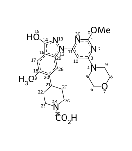 COc1nc(N2CCOCC2)cc(-n2nc(O)c3cc(C)c(C4CCN(C(=O)O)CC4)cc32)n1